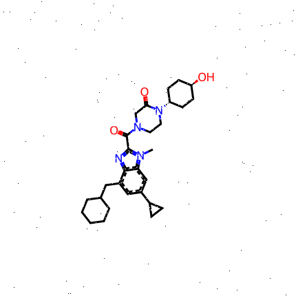 Cn1c(C(=O)N2CCN([C@H]3CC[C@H](O)CC3)C(=O)C2)nc2c(CC3CCCCC3)cc(C3CC3)cc21